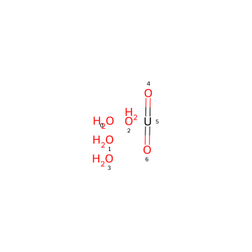 O.O.O.O.[O]=[U]=[O]